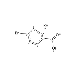 O=S(O)c1ccc(Br)cc1.[KH]